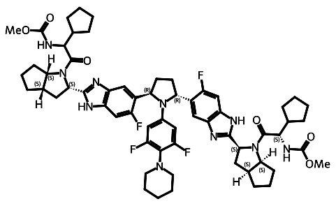 COC(=O)NC(C(=O)N1[C@H](c2nc3cc([C@H]4CC[C@H](c5cc6nc([C@@H]7C[C@@H]8CCC[C@@H]8N7C(=O)[C@@H](NC(=O)OC)C7CCCC7)[nH]c6cc5F)N4c4cc(F)c(N5CCCCC5)c(F)c4)c(F)cc3[nH]2)C[C@@H]2CCC[C@@H]21)C1CCCC1